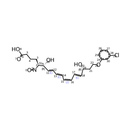 O=N[C@@H](CCCC(=O)O)[C@H](O)/C=C/C=C/C=C\C=C\[C@H](O)CCOc1cccc(Cl)c1